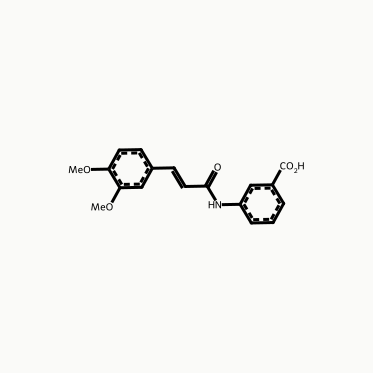 COc1ccc(C=CC(=O)Nc2cccc(C(=O)O)c2)cc1OC